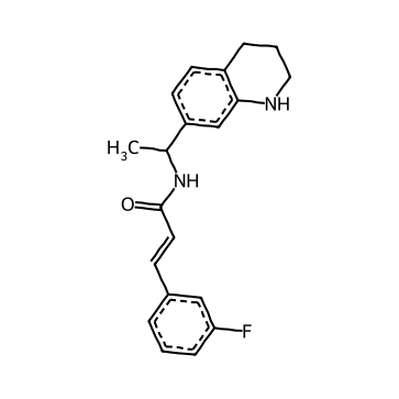 CC(NC(=O)/C=C/c1cccc(F)c1)c1ccc2c(c1)NCCC2